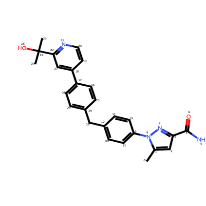 Cc1cc(C(N)=O)nn1-c1ccc(Cc2ccc(-c3ccnc(C(C)(C)O)c3)cc2)cc1